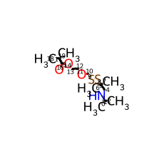 CC(C)NCC(C)(C)SSCOCCOC(=O)C(C)C